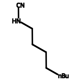 CCCCCCCCNC#N